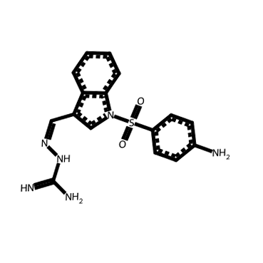 N=C(N)N/N=C\c1cn(S(=O)(=O)c2ccc(N)cc2)c2ccccc12